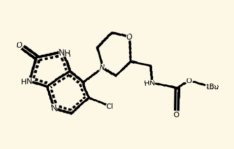 CC(C)(C)OC(=O)NCC1CN(c2c(Cl)cnc3[nH]c(=O)[nH]c23)CCO1